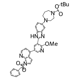 COc1ncc(-c2ccnc3c2ccn3S(=O)(=O)c2ccccc2)cc1-c1nc2cc(N3CCCN(C(=O)OC(C)(C)C)CC3)ccc2[nH]1